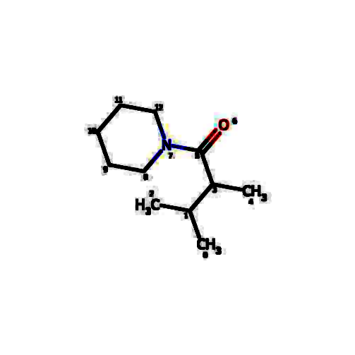 CC(C)C(C)C(=O)N1CCCCC1